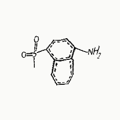 Nc1ccc(S(=O)(=O)I)c2ccccc12